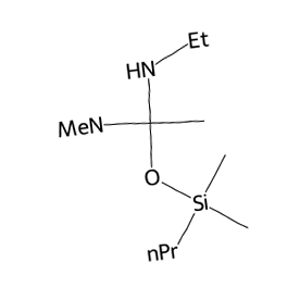 CCC[Si](C)(C)OC(C)(NC)NCC